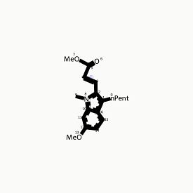 CCCCCc1c(/C=C/C(=O)OC)n(C)c2cc(OC)ccc12